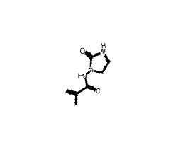 C=C(C)C(=O)NN1CCNC1=O